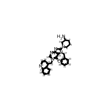 NC1CCCN(c2nc3ncn(Cc4ccnc5ccccc45)c(=O)c3n2Cc2ccccc2)C1